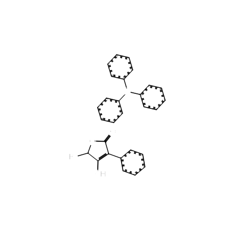 CC1=C(c2ccccc2)C(=O)OC1Br.c1ccc(P(c2ccccc2)c2ccccc2)cc1